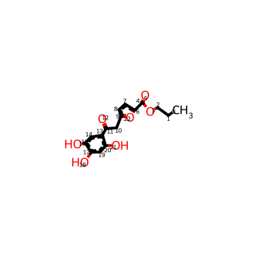 CCCOC(=O)c1ccc(CC(=O)c2cc(O)c(O)cc2O)o1